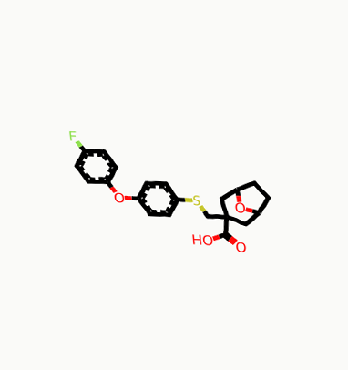 O=C(O)C1(CSc2ccc(Oc3ccc(F)cc3)cc2)CC2CCC(C1)O2